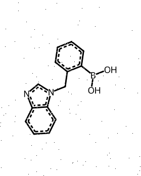 OB(O)c1ccccc1Cn1cnc2ccccc21